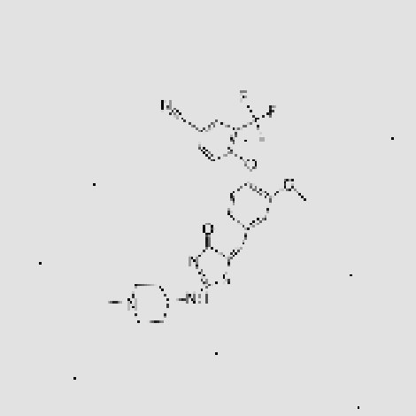 COc1cc(/C=C2/SC(NC3CCN(C)CC3)=NC2=O)ccc1Oc1ccc(C#N)cc1C(F)(F)F